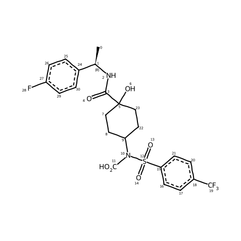 C[C@@H](NC(=O)C1(O)CCC(N(C(=O)O)S(=O)(=O)c2ccc(C(F)(F)F)cc2)CC1)c1ccc(F)cc1